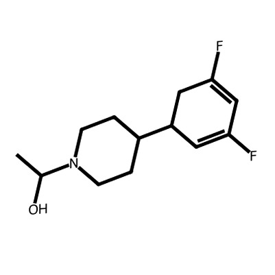 CC(O)N1CCC(C2C=C(F)C=C(F)C2)CC1